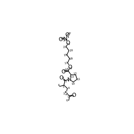 CC(=O)SCC(C)C(=O)N1CCCC1C(=O)OCCCCCO[N+](=O)[O-]